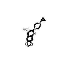 Cl.c1cc2cc3c(cc2nc1N1CCN(C2CC2)CC1)OCO3